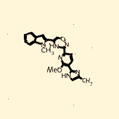 COc1nc(C2=NOCC(c3cc4ccccc4n3C)N2)ccc1-c1nc(C)c[nH]1